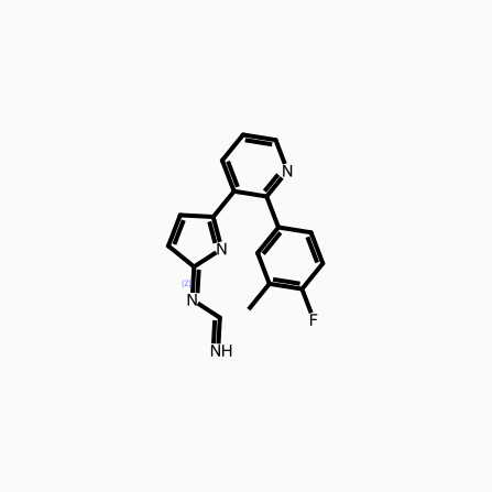 Cc1cc(-c2ncccc2C2=N/C(=N\C=N)C=C2)ccc1F